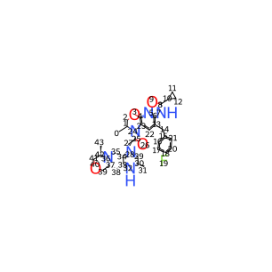 CC1COc2nc(NC(=O)C3CC3)c(Cc3ccc(F)cc3)cc2N1C(=O)CN1C[C@@H](C)NC[C@@H]1CN1[C@H](C)COC[C@H]1C